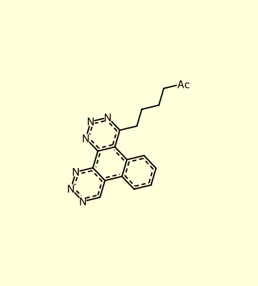 CC(=O)CCCCc1nnnc2c3nnncc3c3ccccc3c12